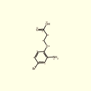 Nc1cc(Br)ccc1OCCC(=O)O